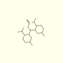 C=CCC(C1CC(C)CCC1C(C)C)C1CC(C)CCC1C(C)C